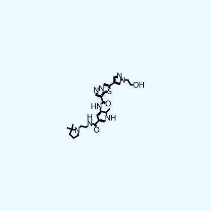 CC1NC=C(C(=O)NCCN2CCCC2(C)C)C=C1NC(=O)c1cnn2cc(-c3cnn(CCO)c3)sc12